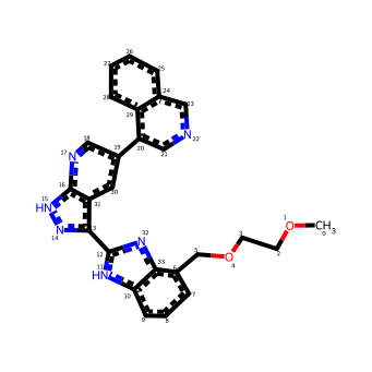 COCCOCc1cccc2[nH]c(-c3n[nH]c4ncc(-c5cncc6ccccc56)cc34)nc12